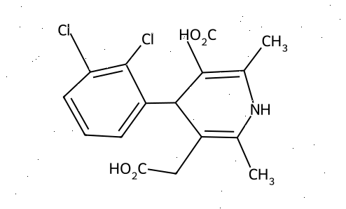 CC1=C(CC(=O)O)C(c2cccc(Cl)c2Cl)C(C(=O)O)=C(C)N1